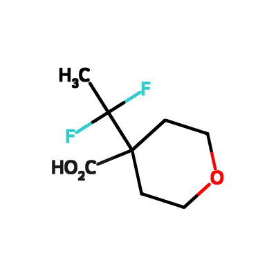 CC(F)(F)C1(C(=O)O)CCOCC1